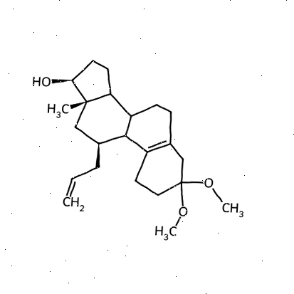 C=CC[C@H]1C[C@@]2(C)C(CC[C@@H]2O)C2CCC3=C(CCC(OC)(OC)C3)C21